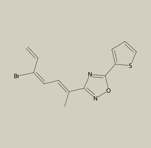 C=C/C(Br)=C\C=C(/C)c1noc(-c2cccs2)n1